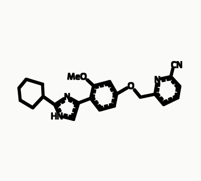 COc1cc(OCc2cccc(C#N)n2)ccc1-c1c[nH]c(C2CCCCC2)n1